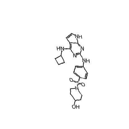 O=S(=O)(c1ccc(Nc2nc(NC3CCC3)c3cc[nH]c3n2)cc1)N1CCC(O)CC1